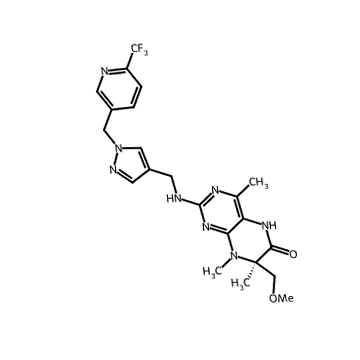 COC[C@]1(C)C(=O)Nc2c(C)nc(NCc3cnn(Cc4ccc(C(F)(F)F)nc4)c3)nc2N1C